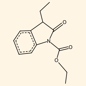 CCOC(=O)N1C(=O)C(CC)c2ccccc21